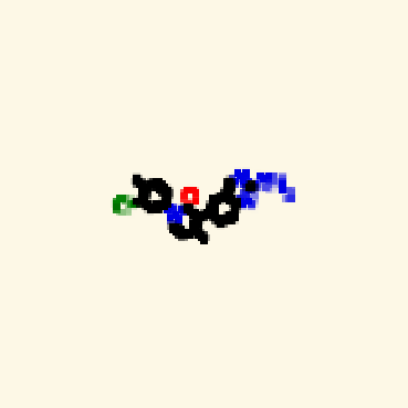 Cc1ccc(-n2ccc(C)c(-c3ccc4nc(N)ncc4c3)c2=O)cc1Cl